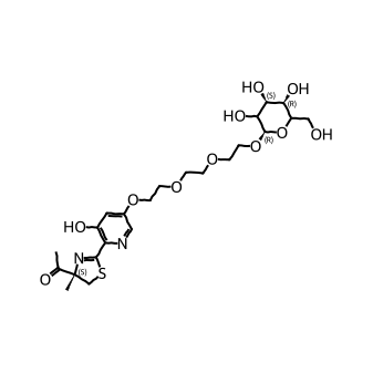 CC(=O)[C@@]1(C)CSC(c2ncc(OCCOCCOCCO[C@@H]3OC(CO)[C@H](O)[C@H](O)C3O)cc2O)=N1